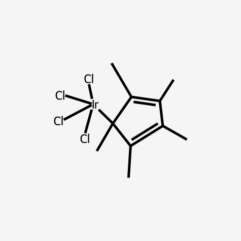 CC1=C(C)[C](C)([Ir]([Cl])([Cl])([Cl])[Cl])C(C)=C1C